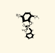 Cc1ccc(C)c(OP(=O)(O)Cc2ccccc2)c1